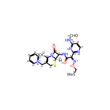 CSCO/N=C(\C(=O)NC1C(=O)N2C(C(=O)[O-])=C(C[n+]3ccccc3)CS[C@H]12)c1nccc(NC=O)n1